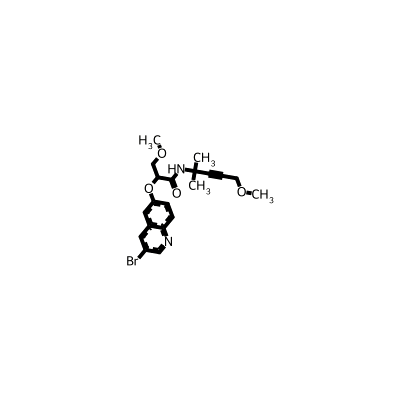 COCC#CC(C)(C)NC(=O)C(COC)Oc1ccc2ncc(Br)cc2c1